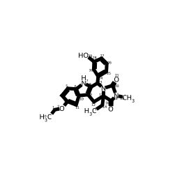 CCOc1ccc2[nH]c3c(c2c1)CC1(CC)C(=O)N(C)C(=O)N1C3c1cccc(O)c1